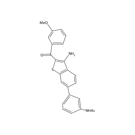 COc1cccc(C(=O)c2sc3cc(-c4cccc(NC(C)=O)c4)ccc3c2N)c1